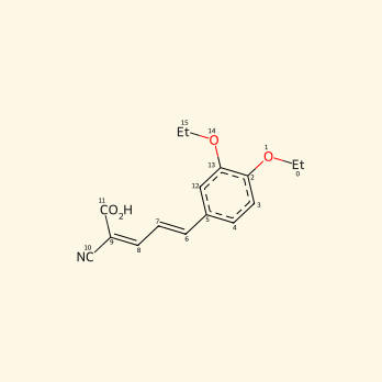 CCOc1ccc(C=CC=C(C#N)C(=O)O)cc1OCC